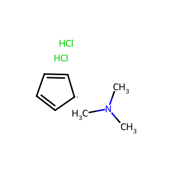 CN(C)C.Cl.Cl.[CH]1C=CC=C1